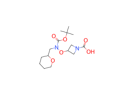 CC(C)(C)OC(=O)N(CC1CCCCO1)OC1CN(C(=O)O)C1